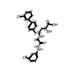 O=C(NNc1cccc(Cl)c1)C(=O)N[C@H](Cc1ccc(-c2cccc(Cl)c2)cc1)C[C@@H](O)C(=O)O